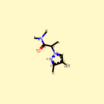 CCc1cn(C(C)C(=O)N(C)C)nc1C